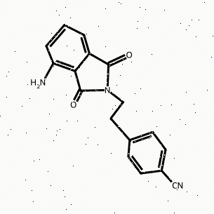 N#Cc1ccc(CCN2C(=O)c3cccc(N)c3C2=O)cc1